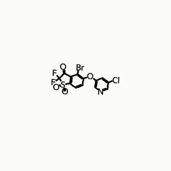 O=C1c2c(ccc(Oc3cncc(Cl)c3)c2Br)S(=O)(=O)C1(F)F